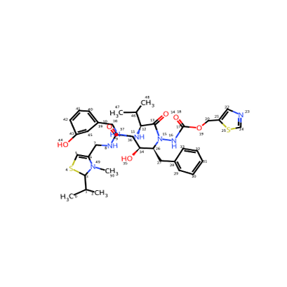 CC(C)C1SC=C(CNC(=O)N[C@H](C(=O)N(NC(=O)OCc2cncs2)[C@@H](Cc2ccccc2)[C@@H](O)CNCc2cccc(O)c2)C(C)C)N1C